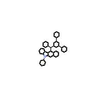 c1ccc(-c2cc(-c3ccccc3)cc(C(c3ccccc3)c3c4ccccc4cc4c3c3ccccc3n4-c3ccccc3)c2)cc1